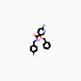 O=C(NCc1ccc(F)cc1)C1(OCc2ccccc2)C=CC(Br)=NC1